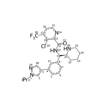 CC(C)n1cc(-c2cccc(C(NC(=O)c3nccc(C(F)(F)F)c3Cl)[C@@H]3CCCCN3)c2)cn1